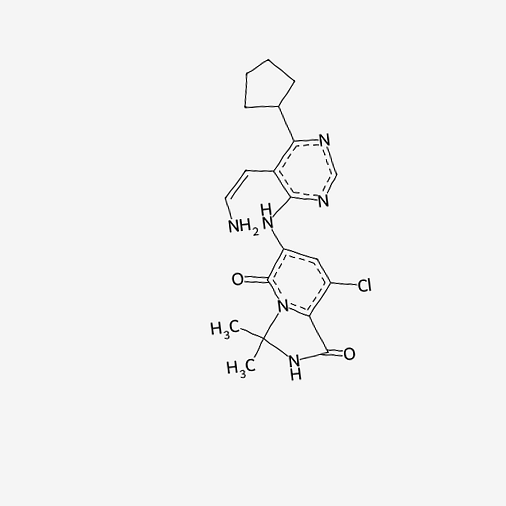 CC1(C)NC(=O)c2c(Cl)cc(Nc3ncnc(C4CCCC4)c3/C=C\N)c(=O)n21